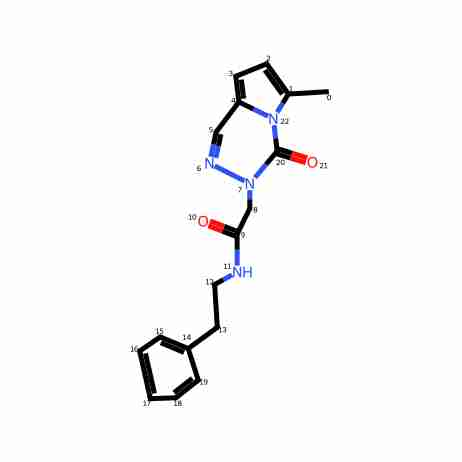 Cc1ccc2cnn(CC(=O)NCCc3ccccc3)c(=O)n12